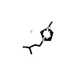 CC(C)CCn1cc[n+](C)c1.[I-]